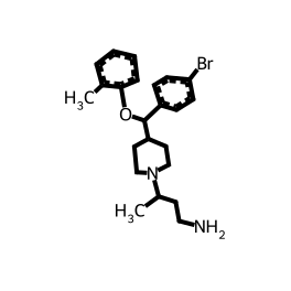 Cc1ccccc1OC(c1ccc(Br)cc1)C1CCN(C(C)CCN)CC1